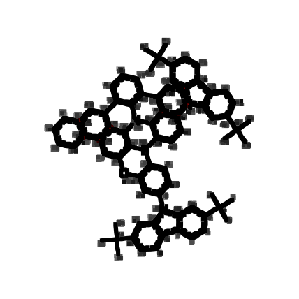 CC(C)(C)c1ccc2c3ccc(C(C)(C)C)cc3n(-c3ccc4c(c3)Oc3cc(-c5ccccc5)cc5c3B4c3ccc(-n4c6cc(C(C)(C)C)ccc6c6ccc(C(C)(C)C)cc64)cc3N5c3c(-c4ccccc4)cccc3-c3ccccc3)c2c1